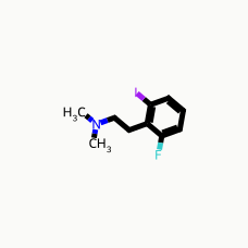 CN(C)CCc1c(I)[c]ccc1F